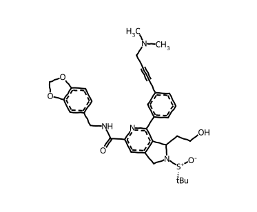 CN(C)CC#Cc1cccc(-c2nc(C(=O)NCc3ccc4c(c3)OCO4)cc3c2C(CCO)N([S@+]([O-])C(C)(C)C)C3)c1